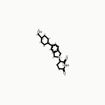 O=C1CCC(N2Cc3ccc(C4CCC(CO)CC4)cc3C2)C(=O)N1